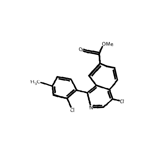 COC(=O)c1ccc2c(Cl)cnc(-c3ccc(C)cc3Cl)c2c1